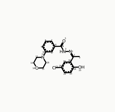 CC(=NNC(=O)c1cccc(N2CCOCC2)c1)c1cc(Cl)ccc1O